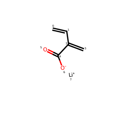 C=CC(=C)C(=O)[O-].[Li+]